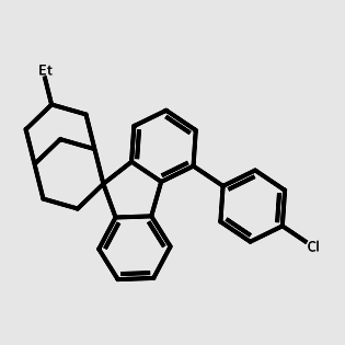 CCC1CC2CCC3(c4ccccc4-c4c(-c5ccc(Cl)cc5)cccc43)C(C1)C2